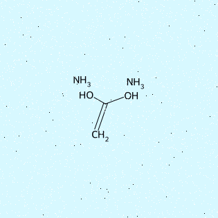 C=C(O)O.N.N